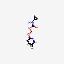 O=C(NC1CC1)OCOc1ccc(I)cn1